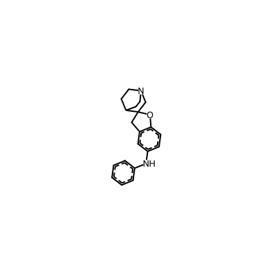 c1ccc(Nc2ccc3c(c2)CC2(CN4CCC2CC4)O3)cc1